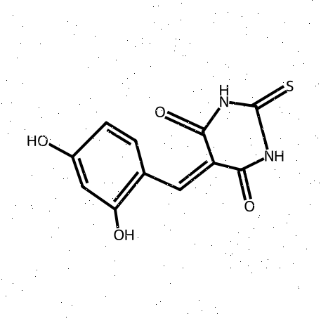 O=C1NC(=S)NC(=O)C1=Cc1ccc(O)cc1O